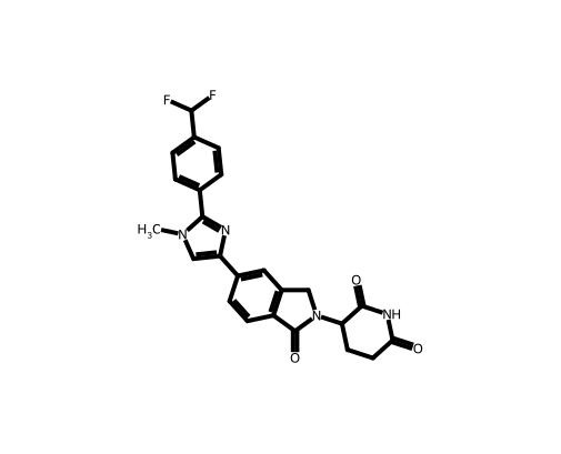 Cn1cc(-c2ccc3c(c2)CN(C2CCC(=O)NC2=O)C3=O)nc1-c1ccc(C(F)F)cc1